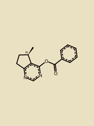 C[C@@H]1CCc2ncnc(OC(=O)c3ccccc3)c21